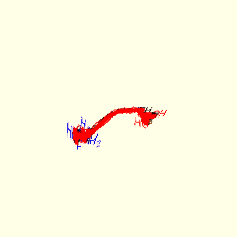 CCN(CCOCCOCCOCCOCCOCCOCCOCCN1CCN(c2cc(S(=O)(=O)NNC(=O)c3cccc4[nH]ccc34)ccc2N)CC1)CCOc1ccc(C(=O)c2c(-c3ccc(O)cc3)sc3cc(O)ccc23)cc1